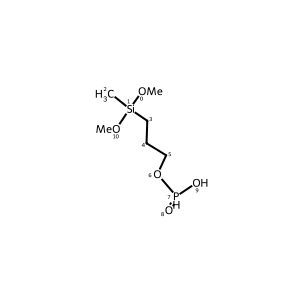 CO[Si](C)(CCCO[PH](=O)O)OC